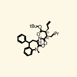 C=CC[C@H](C(=O)OC(C)(C)C)[C@@H](CC(C)C)C(=O)NC1CC(c2ccccc2)c2ccccc2N(C)C1=O